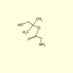 CC(C)(CO)OC(=O)CN